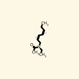 CC/C=C\C=C/CN(CC)C(C)=O